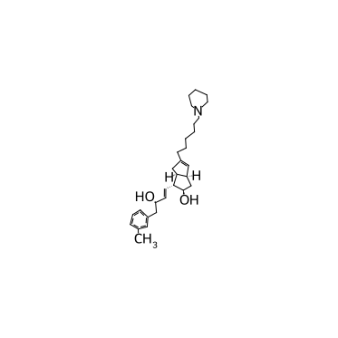 Cc1cccc(C[C@@H](O)/C=C/[C@@H]2[C@H]3CC(CCCCCCN4CCCCC4)=C[C@H]3C[C@H]2O)c1